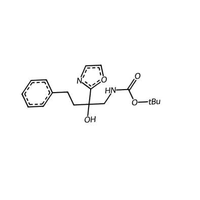 CC(C)(C)OC(=O)NCC(O)(CCc1ccccc1)c1ncco1